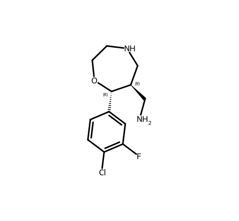 NC[C@@H]1CNCCO[C@H]1c1ccc(Cl)c(F)c1